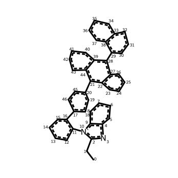 CCc1nc2ccccc2n1-c1ccccc1-c1ccc(-c2c3ccccc3c(-c3cccc4ccccc34)c3ccccc23)cc1